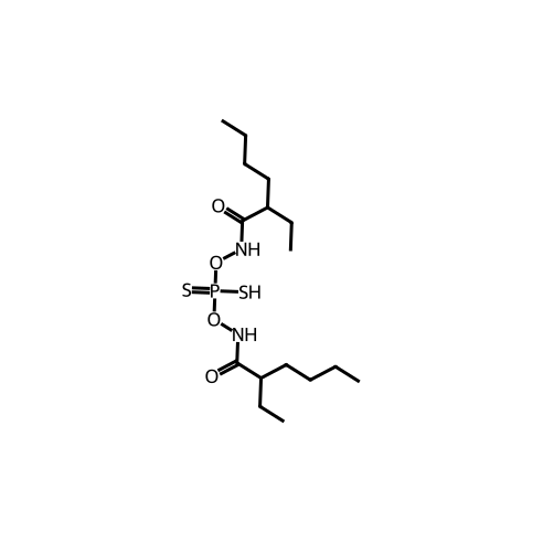 CCCCC(CC)C(=O)NOP(=S)(S)ONC(=O)C(CC)CCCC